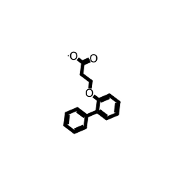 [O]C(=O)CCOc1ccccc1-c1ccccc1